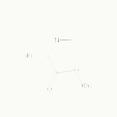 CC(C)[C@@H](C(=O)OC(C)(C)C)N(C)C